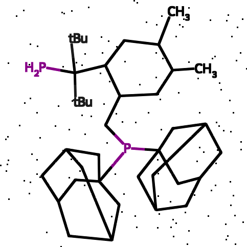 CC1CC(CP(C23CC4CC(CC(C4)C2)C3)C23CC4CC(CC(C4)C2)C3)C(C(P)(C(C)(C)C)C(C)(C)C)CC1C